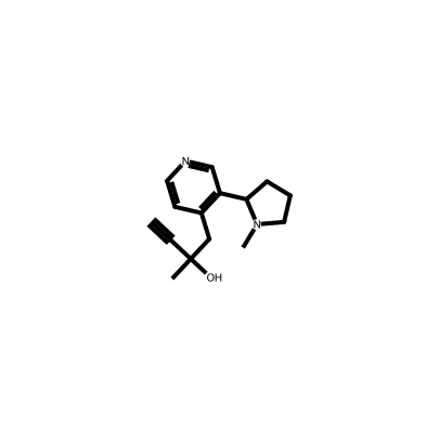 C#CC(C)(O)Cc1ccncc1C1CCCN1C